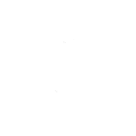 CC(C)(C)OC(=O)N1CCOc2ccc(-c3ccc(Cl)[n+]([O-])c3)cc2C1